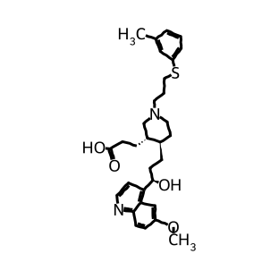 COc1ccc2nccc([C@H](O)CC[C@@H]3CCN(CCCSc4cccc(C)c4)C[C@H]3CCC(=O)O)c2c1